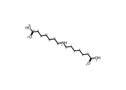 O=C(O)CCCCCCNCCCCCCC(=O)O